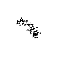 Cc1c(-c2[nH]c3ccc(N4CCC(N(C)C5CCC5)CC4)nc3c2C(C)C)cn2ncnc2c1C